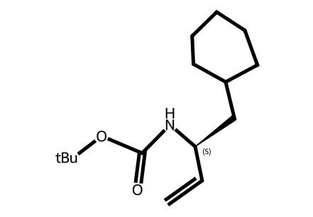 C=C[C@H](CC1CCCCC1)NC(=O)OC(C)(C)C